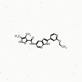 CCOc1cc(-c2cc3cc(NC(=O)c4n[nH]c(C)c4C)cnc3[nH]2)ccn1